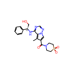 Cc1c(C(=O)N2CCS(=O)(=O)CC2)cn2ncnc(N[C@H](CO)c3ccccc3)c12